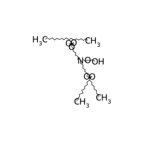 CCCCCCCCCCC(CCCCCCCC)OC(=O)OCCCCCCN(CCCCCCOC(=O)C(CCCCCCCC)CCCCCCCCCC)CCOCCO